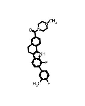 Cc1cc(-c2ccc3c4c([nH]c3c2F)-c2ccc(C(=O)N3CCN(C)CC3)cc2CC4)ccc1F